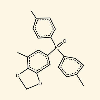 Cc1ccc(P(=O)(c2ccc(C)cc2)c2cc(C)c3c(c2)OCO3)cc1